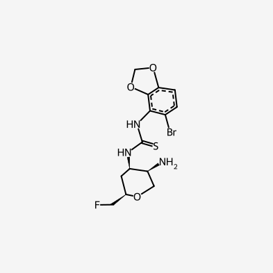 N[C@H]1CO[C@@H](CF)C[C@H]1NC(=S)Nc1c(Br)ccc2c1OCO2